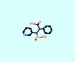 O=C(O)C(c1ccccc1)C(c1cccnc1)[PH](=O)O